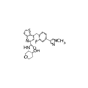 Cn1cc(-c2ccc(Cc3cc(C(=O)N[C@H]4COCC[C@@H]4O)nc4ccsc34)c(F)c2)cn1